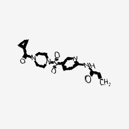 C=CC(=O)Nc1ccc(S(=O)(=O)N2CCN(C(=O)C3CC3)CC2)cn1